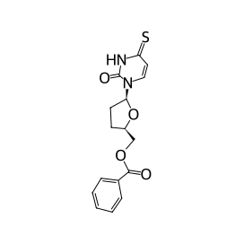 O=C(OC[C@H]1CC[C@@H](n2ccc(=S)[nH]c2=O)O1)c1ccccc1